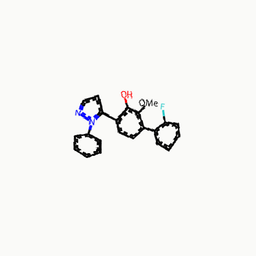 COc1c(-c2ccccc2F)ccc(-c2ccnn2-c2ccccc2)c1O